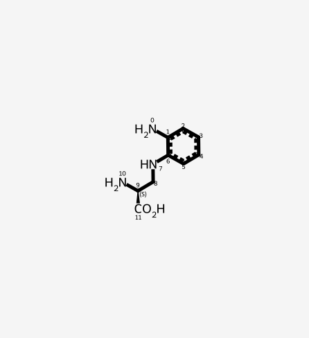 Nc1ccccc1NC[C@H](N)C(=O)O